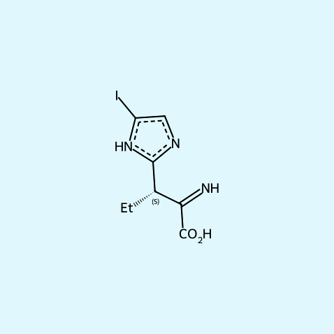 CC[C@@H](C(=N)C(=O)O)c1ncc(I)[nH]1